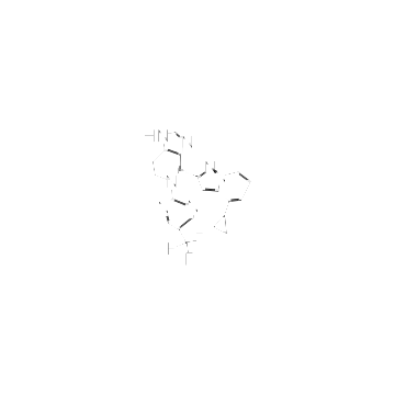 FC(F)(F)c1cnc(N2CCc3[nH]cnc3[C@H]2c2cc3c(C4CC4)cccn3n2)nc1